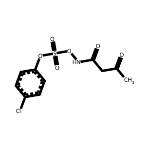 CC(=O)CC(=O)NOS(=O)(=O)Oc1ccc(Cl)cc1